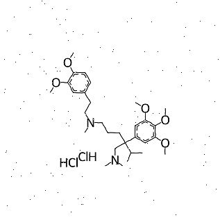 COc1ccc(CCN(C)CCCC(CN(C)C)(c2cc(OC)c(OC)c(OC)c2)C(C)C)cc1OC.Cl.Cl